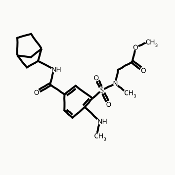 CNc1ccc(C(=O)NC2CC3CCC2C3)cc1S(=O)(=O)N(C)CC(=O)OC